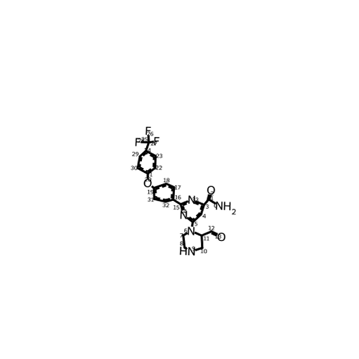 NC(=O)c1cc(N2CCNCC2C=O)nc(-c2ccc(Oc3ccc(C(F)(F)F)cc3)cc2)n1